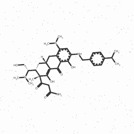 CC(C)c1ccc(CNc2cc(N(C)C)c3c(c2O)C(=O)C2=C(O)[C@](C)(C(=O)CC(N)=O)[C@H]([C@@H](CO)N(C)C)C[C@@H]2C3)cc1